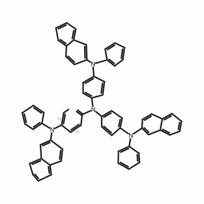 C=C(/C=C\C(=C/C)N(c1ccccc1)c1ccc2ccccc2c1)N(c1ccc(N(c2ccccc2)c2ccc3ccccc3c2)cc1)c1ccc(N(c2ccccc2)c2ccc3ccccc3c2)cc1